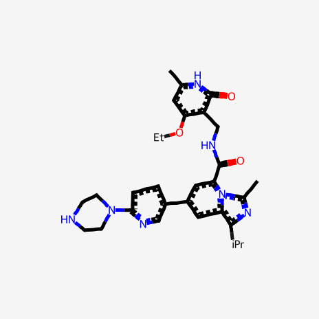 CCOc1cc(C)[nH]c(=O)c1CNC(=O)c1cc(-c2ccc(N3CCNCC3)nc2)cc2c(C(C)C)nc(C)n12